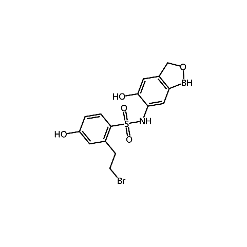 O=S(=O)(Nc1cc2c(cc1O)COB2)c1ccc(O)cc1CCBr